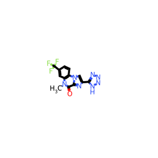 Cn1c(=O)c2nc(-c3nnn[nH]3)cn2c2ccc(C(F)(F)F)cc21